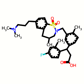 Cc1ccc(C(CC(=O)O)c2ccc(F)cc2C)cc1CN1CC(C)Cc2cc(CCCN(C)C)ccc2S1(=O)=O